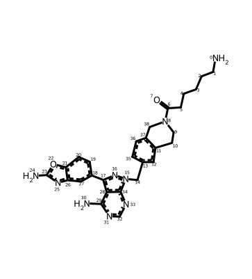 NCCCCCC(=O)N1CCc2cc(Cn3nc(-c4ccc5oc(N)nc5c4)c4c(N)ncnc43)ccc2C1